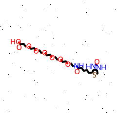 O=C(O)CCOCCOCCOCCOCCOCCOCCNC(=O)CCCCC1SCC2NC(=O)NC21